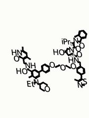 CCN(c1cc(-c2ccc(OCCOCCOc3cc(-c4scnc4C)ccc3CNC(=O)[C@@H]3C[C@@H](O)CN3C(=O)[C@H](C(C)C)N3Cc4ccccc4C3=O)cc2)cc(C(O)NCc2c(C)cc(C)[nH]c2=O)c1C)C1CCOCC1